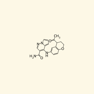 CC(=O)C1CCOc2ccc(Nc3c(C(N)=O)cnn4cccc34)cc21